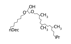 CCCCCCCCCCCCCCCCCCOC(CO)COCCC(C)CCCC(C)CCCC(C)CCCC(C)C